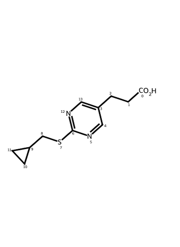 O=C(O)CCc1cnc(SCC2CC2)nc1